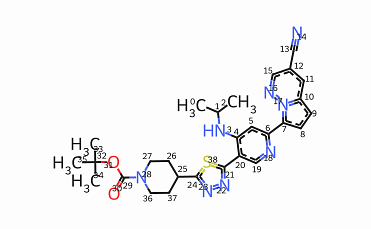 CC(C)Nc1cc(-c2ccc3cc(C#N)cnn23)ncc1-c1nnc(C2CCN(C(=O)OC(C)(C)C)CC2)s1